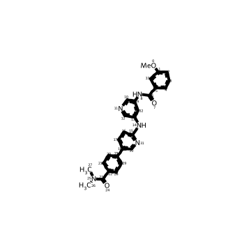 COc1cccc(C(=O)Nc2cncc(Nc3ccc(-c4ccc(C(=O)N(C)C)cc4)cn3)c2)c1